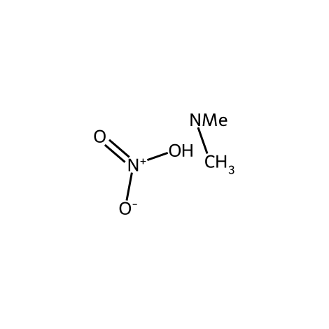 CNC.O=[N+]([O-])O